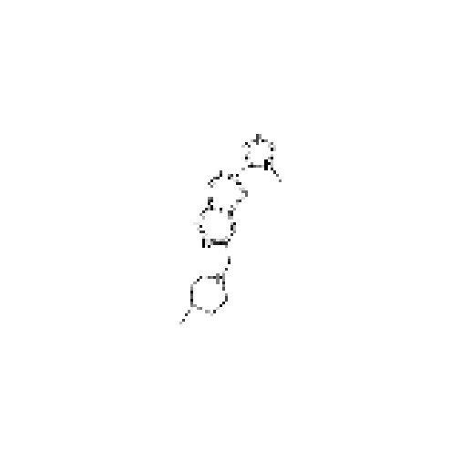 CC1CCN(Cc2cc3cc(-c4cncn4C)ccc3cn2)CC1